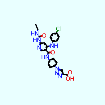 CCNC(=O)Nc1cc(Nc2ccc(Cl)cc2)c(C(=O)Nc2ccc(-n3cc(C(=O)O)nn3)cc2)cn1